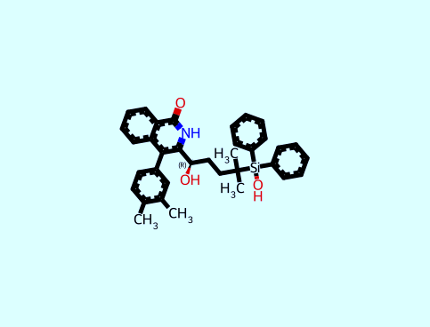 Cc1ccc(-c2c([C@H](O)CCC(C)(C)[Si](O)(c3ccccc3)c3ccccc3)[nH]c(=O)c3ccccc23)cc1C